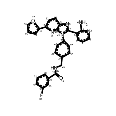 Nc1ncccc1-c1nc2ccc(-c3ccco3)nc2n1-c1ccc(CNC(=O)c2cccc(F)c2)cc1